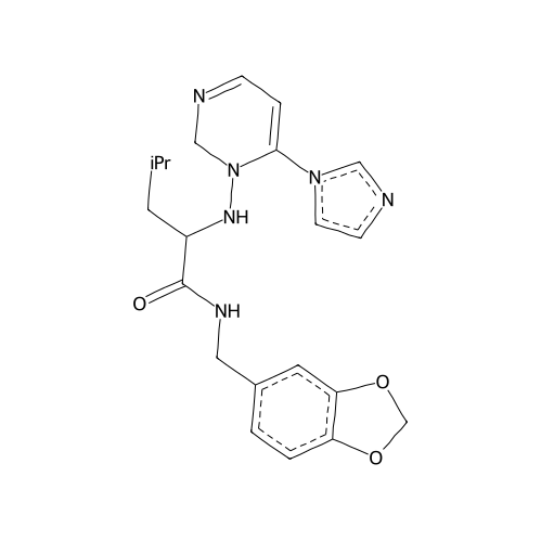 CC(C)CC(NN1CN=CC=C1n1ccnc1)C(=O)NCc1ccc2c(c1)OCO2